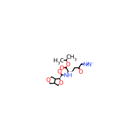 CC(C)OC(=O)[C@H](CCC(=O)C=[N+]=[N-])NC(=O)[C@H]1OCC2COCC21